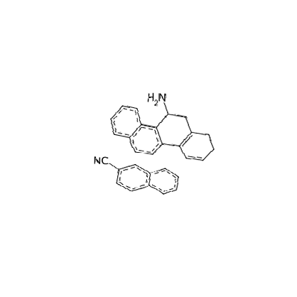 N#Cc1ccc2ccccc2c1.NC1CC2=C(C=CCC2)c2ccc3ccccc3c21